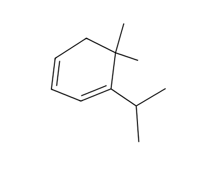 CC(C)C1=CC=CCC1(C)C